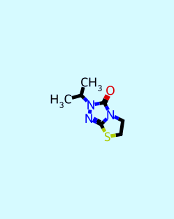 CC(C)n1nc2n(c1=O)CCS2